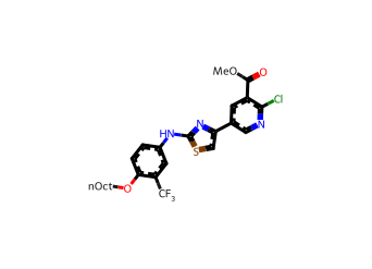 CCCCCCCCOc1ccc(Nc2nc(-c3cnc(Cl)c(C(=O)OC)c3)cs2)cc1C(F)(F)F